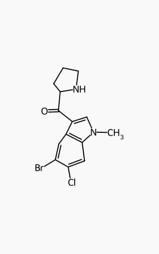 Cn1cc(C(=O)C2CCCN2)c2cc(Br)c(Cl)cc21